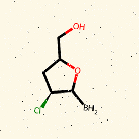 BC1OC(CO)C[C@@H]1Cl